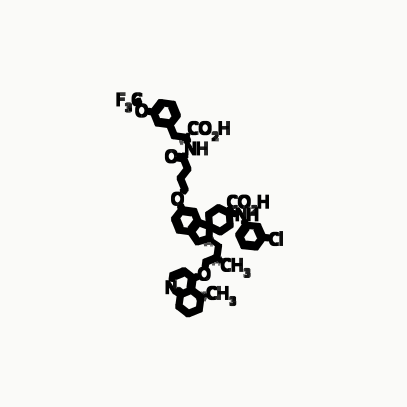 C[C@@H](COc1ccnc2c1[C@H](C)CCC2)C[C@H]1Cc2ccc(OCCCC(=O)N[C@H](Cc3cccc(OC(F)(F)F)c3)C(=O)O)cc2C12CCC(Nc1cccc(Cl)c1)(C(=O)O)CC2